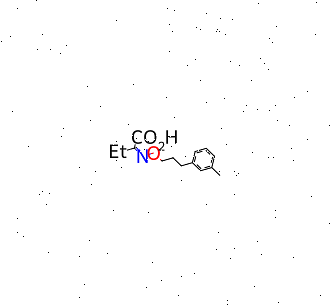 CCC(=NOCCCc1cccc(C)c1)C(=O)O